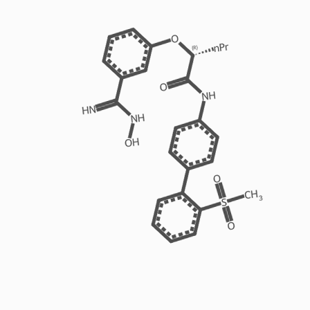 CCC[C@@H](Oc1cccc(C(=N)NO)c1)C(=O)Nc1ccc(-c2ccccc2S(C)(=O)=O)cc1